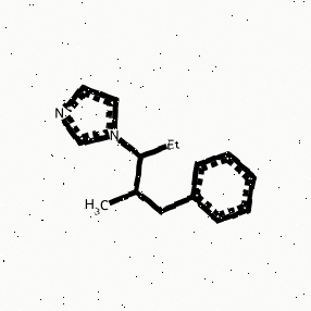 CCC(C(C)Cc1ccccc1)n1ccnc1